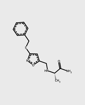 C[C@H](NCc1cc(SCc2ccccc2)no1)C(N)=O